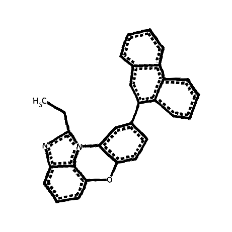 CCc1nc2cccc3c2n1-c1cc(-c2cc4ccccc4c4ccccc24)ccc1O3